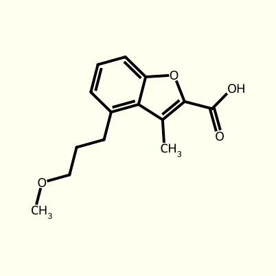 COCCCc1cccc2oc(C(=O)O)c(C)c12